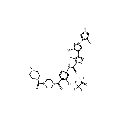 Cc1c[nH]nc1-n1cc(-c2cnc(C(=O)Nc3ccc(C(=O)N4CCN(C(=O)C5CCN(C)CC5)CC4)c(Cl)c3)n2C)c(C(F)(F)F)n1.O=C(O)C(F)(F)F